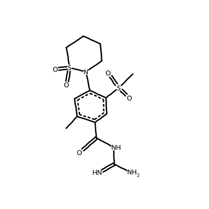 Cc1cc(N2CCCCS2(=O)=O)c(S(C)(=O)=O)cc1C(=O)NC(=N)N